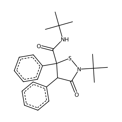 CC(C)(C)NC(=O)C1(c2ccccc2)SN(C(C)(C)C)C(=O)C1c1ccccc1